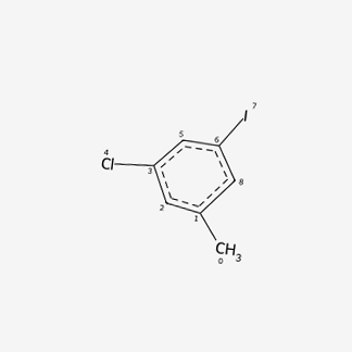 Cc1cc(Cl)cc(I)c1